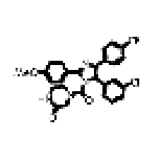 COc1ccc(C2=NC(c3ccc(C(F)(F)F)cc3)C(c3cccc(Cl)c3)N2C(=O)N2CCNC(=O)C2)cc1